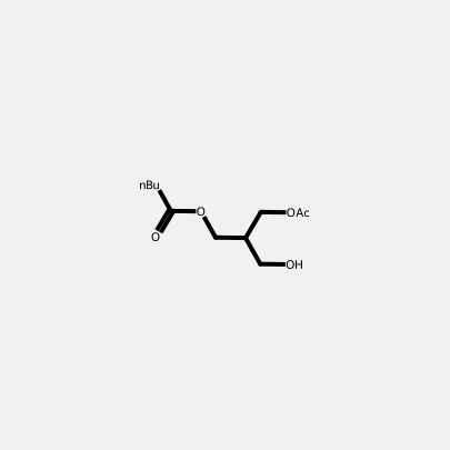 CCCCC(=O)OCC(CO)COC(C)=O